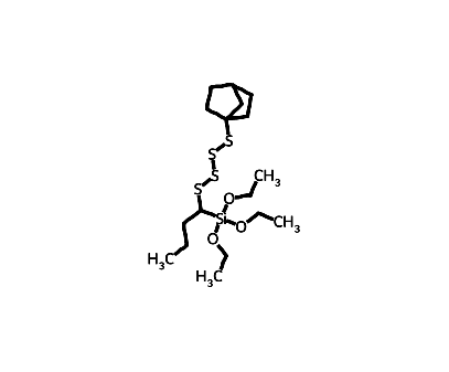 CCCC(SSSSC12CCC(CC1)C2)[Si](OCC)(OCC)OCC